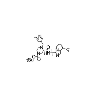 Cn1cc(CN2CCN(C(=O)OC(C)(C)C)C[C@H]2C(=O)NC(C)(C)c2ncc3c(C4CC4)cccn23)cn1